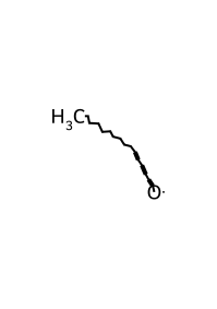 CCCCCCCCCCC#CC#CC#C[O]